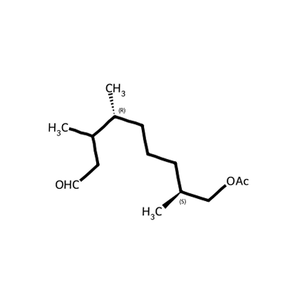 CC(=O)OC[C@@H](C)CCC[C@@H](C)C(C)CC=O